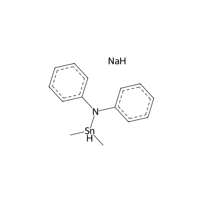 [CH3][SnH]([CH3])[N](c1ccccc1)c1ccccc1.[NaH]